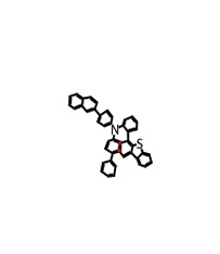 c1ccc(-c2ccc(N(c3ccc(-c4ccc5ccccc5c4)cc3)c3ccccc3-c3cccc4c3sc3ccccc34)cc2)cc1